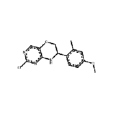 COc1ccc(C2COc3cnc(Cl)nc3N2)c(C)c1